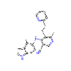 Cc1ncc(C#N)c(Nc2ccc3[nH]ccc3c2C)c1CCc1ccccn1